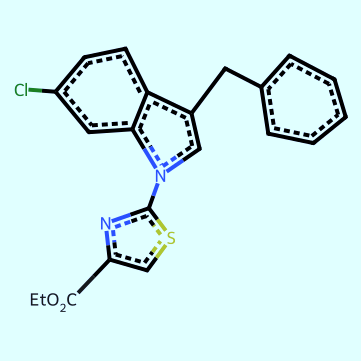 CCOC(=O)c1csc(-n2cc(Cc3ccccc3)c3ccc(Cl)cc32)n1